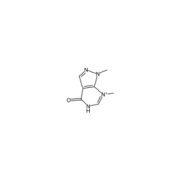 Cn1ncc2c(=O)[nH]c[n+](C)c21